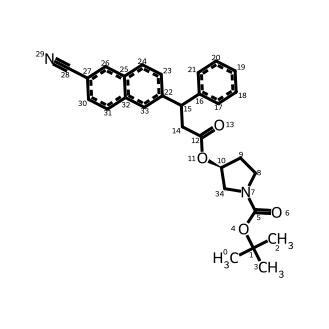 CC(C)(C)OC(=O)N1CC[C@H](OC(=O)CC(c2ccccc2)c2ccc3cc(C#N)ccc3c2)C1